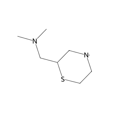 CN(C)CC1C[N]CCS1